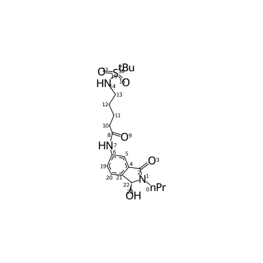 CCCN1C(=O)c2cc(NC(=O)CCCCNS(=O)(=O)C(C)(C)C)ccc2[C@@H]1O